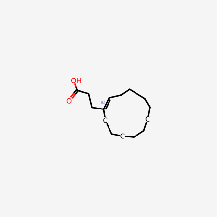 O=C(O)CC/C1=C/CCCCCCCCCC1